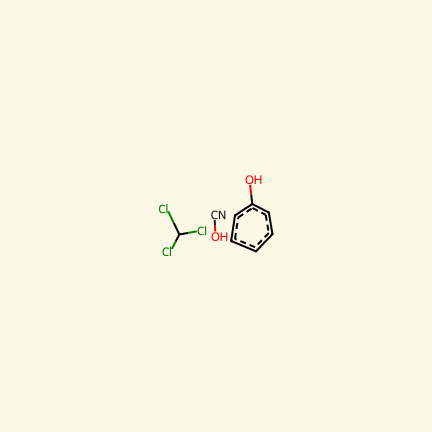 ClC(Cl)Cl.N#CO.Oc1ccccc1